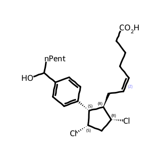 CCCCCC(O)c1ccc([C@@H]2[C@@H](C/C=C\CCCC(=O)O)[C@H](Cl)C[C@@H]2Cl)cc1